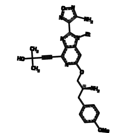 CCn1c(-c2nonc2N)nc2c(C#CC(C)(C)O)nc(OC[C@@H](N)Cc3ccc(OC)cc3)cc21